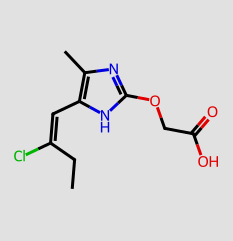 CC/C(Cl)=C\c1[nH]c(OCC(=O)O)nc1C